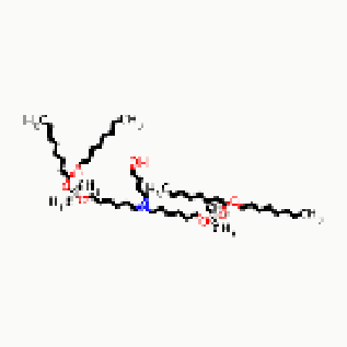 CCCCCCCCOC(CCCCCCC)O[Si](C)(C)OCCCCCCN(CCCCO)CCCCCCO[Si](C)(C)OC(CCCCCCC)OCCCCCCCC